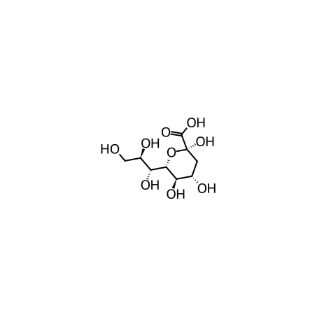 O=C(O)[C@@]1(O)C[C@H](O)[C@@H](O)[C@H]([C@H](O)[C@H](O)CO)O1